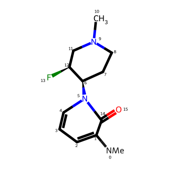 CNc1cccn([C@@H]2CCN(C)C[C@@H]2F)c1=O